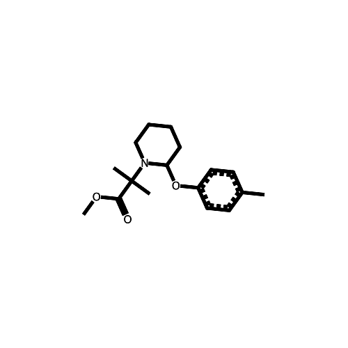 COC(=O)C(C)(C)N1CCCCC1Oc1ccc(C)cc1